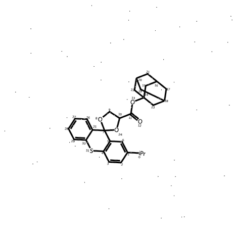 CC(C)c1ccc2c(c1)C1(OCC(C(=O)OC34CC5CC(CC(C5)C3)C4)O1)c1ccccc1S2